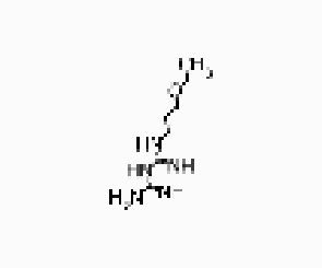 CCOCCCNC(=N)NC(=N)N